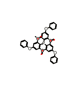 COc1cc(Oc2ccccc2)cc(OC)c1P(c1c(OC)cc(Oc2ccccc2)cc1OC)c1c(OC)cc(Oc2ccccc2)cc1OC